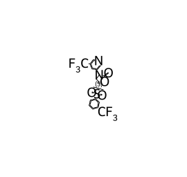 CC(C)([C@@H]1CN(c2cncc(C(F)(F)F)c2)C(=O)O1)S(=O)(=O)c1cccc(C(F)(F)F)c1